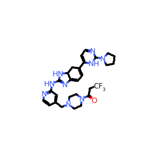 O=C(CC(F)(F)F)N1CCN(Cc2ccnc(NC3=NC4=CC=C(C5=CC=NC(N6CCCC6)N5)CC4N3)c2)CC1